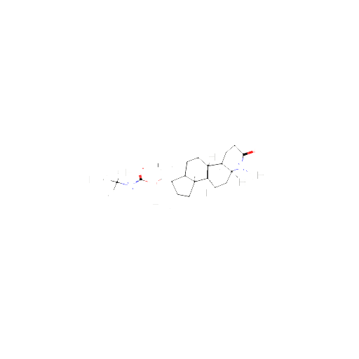 C[C@H]1C[C@H]2[C@@H]3CC[C@H]4N(C)C(=O)CC[C@]4(C)[C@H]3CC[C@]2(C)[C@H]1[C@@H](C)OC(=O)NC(C)(C)C